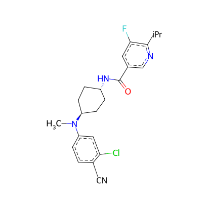 CC(C)c1ncc(C(=O)N[C@H]2CC[C@H](N(C)c3ccc(C#N)c(Cl)c3)CC2)cc1F